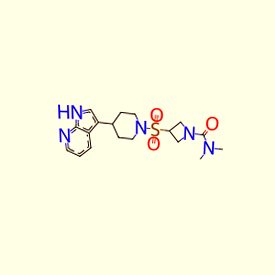 CN(C)C(=O)N1CC(S(=O)(=O)N2CCC(c3c[nH]c4ncccc34)CC2)C1